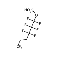 O=S(=O)(O)OC(F)(F)C(F)(F)C(F)(F)CCC(F)(F)F